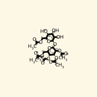 CC(=O)OCC1O[C@H](O[C@H]2OC(COC(C)=O)[C@@H](OC(C)=O)[C@@H](OC(C)=O)C2OC(C)=O)C(O)[C@@H](O)[C@@H]1O